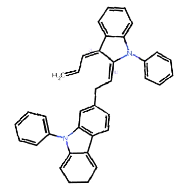 C=C/C=c1\c(=C/Cc2ccc3c4c(n(-c5ccccc5)c3c2)=CCCC=4)n(-c2ccccc2)c2ccccc12